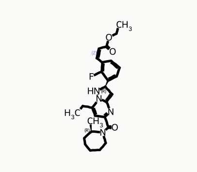 CCOC(=O)/C=C\c1cccc([C@H]2C=C3N=C(C(=O)N4CCCCC[C@H]4C)C=C(CC)N3N2)c1F